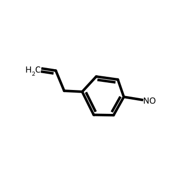 C=CCc1ccc(N=O)cc1